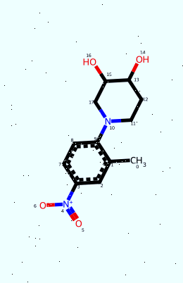 Cc1cc([N+](=O)[O-])ccc1N1CCC(O)C(O)C1